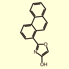 Oc1coc(-c2cccc3c2ccc2ccccc23)n1